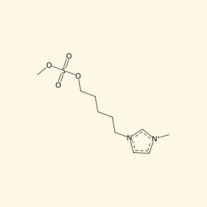 COS(=O)(=O)OCCCCCn1cc[n+](C)c1